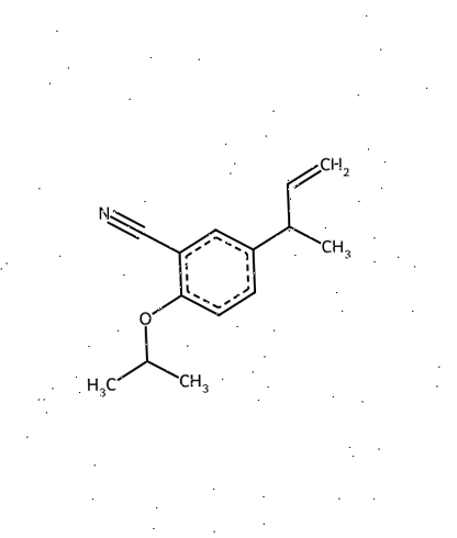 C=C[C](C)c1ccc(OC(C)C)c(C#N)c1